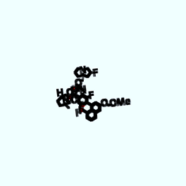 COCOc1cc(-c2c(F)cc3c(N4C[C@H]5CC[C@@](C)(C4)N5C(=O)OC(C)(C)C)nc(OC[C@]45CCCN4C[C@@H](F)C5)nc3c2F)c2c(C(F)F)cccc2c1